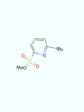 COS(=O)(=O)c1cccc(C(C)(C)C)n1